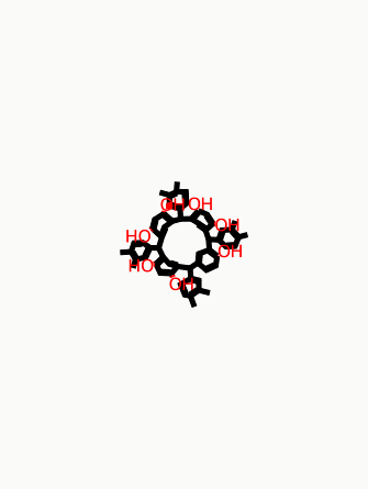 Cc1ccc(C2c3ccc(O)c(c3)C(c3ccc(C)c(C)c3)c3cc(c(O)cc3O)C(c3ccc(C)c(C)c3)c3cc(c(O)cc3O)C(c3ccc(C)c(C)c3)c3cc2c(O)cc3O)cc1C